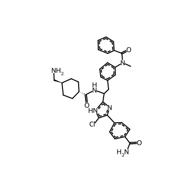 CN(C(=O)c1ccccc1)c1cccc(CC(NC(=O)[C@H]2CC[C@H](CN)CC2)c2nc(-c3ccc(C(N)=O)cc3)c(Cl)[nH]2)c1